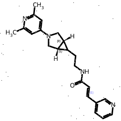 Cc1cc(N2C[C@@H]3C(CCNC(=O)/C=C/c4cccnc4)[C@@H]3C2)cc(C)n1